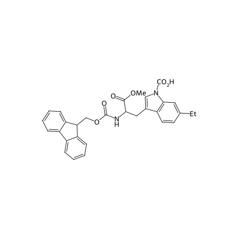 CCc1ccc2c(CC(NC(=O)OCC3c4ccccc4-c4ccccc43)C(=O)OC)cn(C(=O)O)c2c1